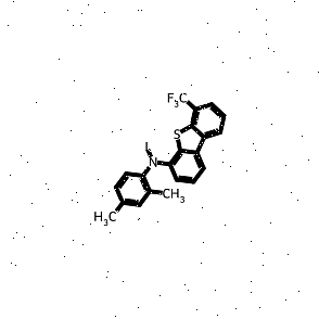 Cc1ccc(N(I)c2cccc3c2sc2c(C(F)(F)F)cccc23)c(C)c1